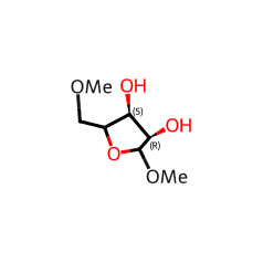 COCC1OC(OC)[C@H](O)[C@@H]1O